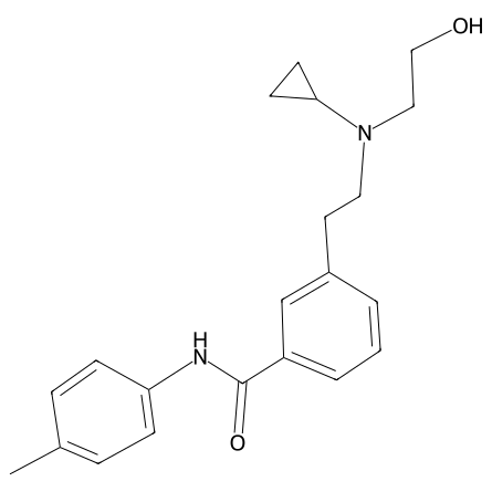 Cc1ccc(NC(=O)c2cccc(CCN(CCO)C3CC3)c2)cc1